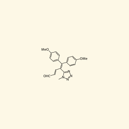 COc1ccc(C(=C(/C=C/C=O)c2nnnn2C)c2ccc(OC)cc2)cc1